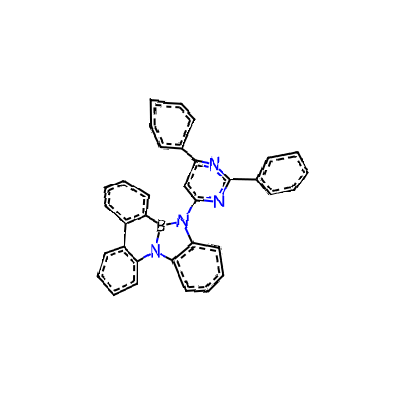 c1ccc(-c2cc(N3B4c5ccccc5-c5ccccc5N4c4ccccc43)nc(-c3ccccc3)n2)cc1